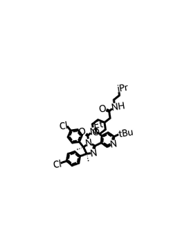 CCOc1cc(C(C)(C)C)ncc1C1=N[C@@](C)(c2ccc(Cl)cc2)[C@@](C)(c2ccc(Cl)cc2)N1C(=O)N1CCC(CC(=O)NCCC(C)C)CC1